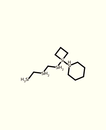 [SiH3]C[SiH2]C[SiH2][Si]1([SiH]2CCCCC2)CCC1